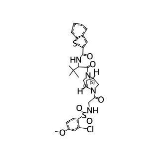 COc1ccc(S(=O)(=O)NCC(=O)N2C[C@@H]3C[C@H]2CN3C(=O)C(NC(=O)c2cc3ccccc3s2)C(C)(C)C)c(Cl)c1